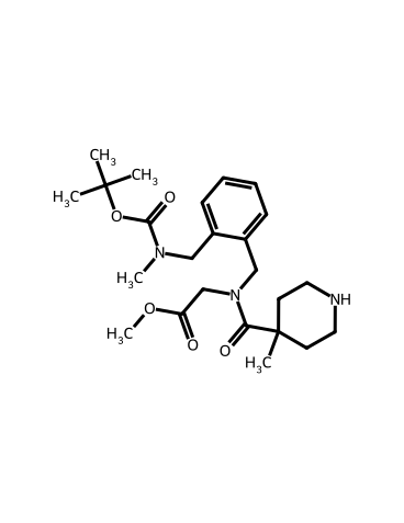 COC(=O)CN(Cc1ccccc1CN(C)C(=O)OC(C)(C)C)C(=O)C1(C)CCNCC1